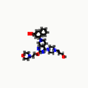 O=CC=CN1CCN(c2nc(OCCN3CCOCC3)nc3c2CCN(c2cc(O)cc4ccccc24)C3)CC1